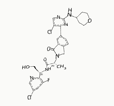 C[C@H](C(=O)N[C@H](CO)c1ncc(Cl)cc1F)N1Cc2ccc(-c3nc(NC4CCOCC4)ncc3Cl)cc2C1=O